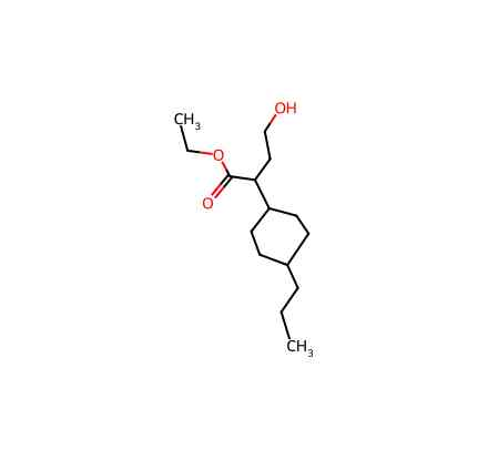 CCCC1CCC(C(CCO)C(=O)OCC)CC1